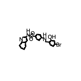 O=S(=O)(Nc1cnc2ccccc2c1)c1ccc(NCc2ccc(Br)cc2O)cc1